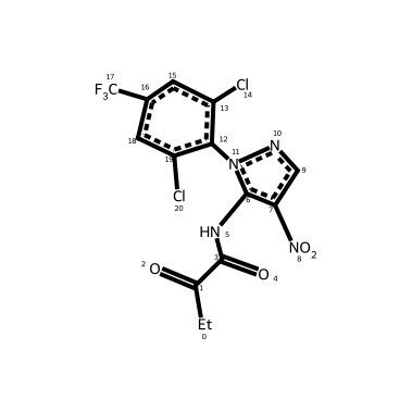 CCC(=O)C(=O)Nc1c([N+](=O)[O-])cnn1-c1c(Cl)cc(C(F)(F)F)cc1Cl